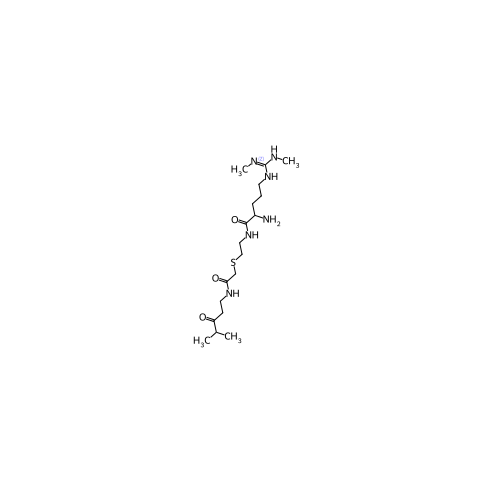 C/N=C(/NC)NCCCC(N)C(=O)NCCSCC(=O)NCCC(=O)C(C)C